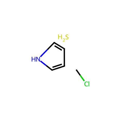 CCl.S.c1cc[nH]c1